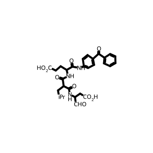 CC(C)CC(C(=O)NC(C=O)CC(=O)O)C(=O)NC(CCC(=O)O)C(=O)Nc1ccc(C(=O)c2ccccc2)cc1